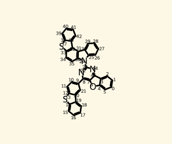 c1ccc2c(c1)oc1c(-c3ccc4sc5ccccc5c4c3)nc(-n3c4ccccc4c4c5c(ccc43)sc3ccccc35)nc12